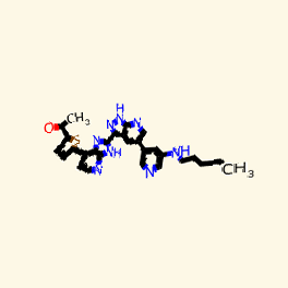 CCCCCNc1cncc(-c2cnc3[nH]nc(-c4nc5c(-c6ccc(C(C)=O)s6)ccnc5[nH]4)c3c2)c1